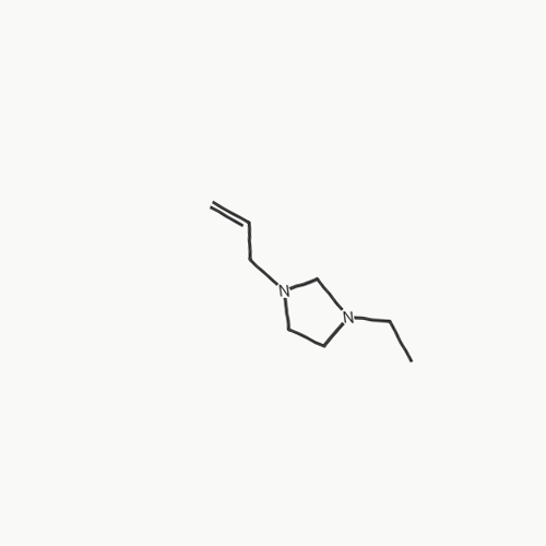 C=CCN1CCN(CC)C1